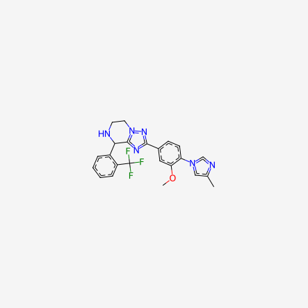 COc1cc(-c2nc3n(n2)CCNC3c2ccccc2C(F)(F)F)ccc1-n1cnc(C)c1